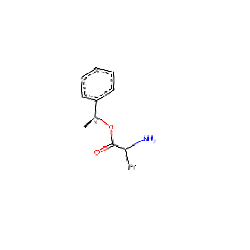 CC(C)C(N)C(=O)O[C@@H](C)c1ccccc1